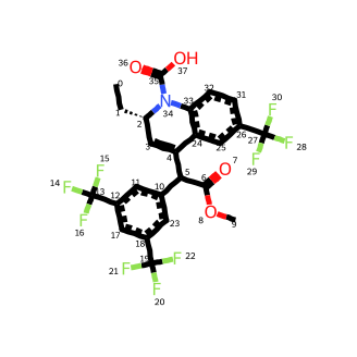 CC[C@H]1C=C(C(C(=O)OC)c2cc(C(F)(F)F)cc(C(F)(F)F)c2)c2cc(C(F)(F)F)ccc2N1C(=O)O